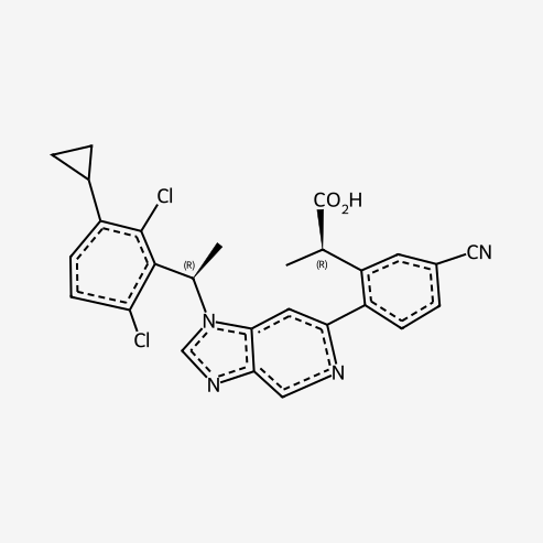 C[C@H](c1c(Cl)ccc(C2CC2)c1Cl)n1cnc2cnc(-c3ccc(C#N)cc3[C@@H](C)C(=O)O)cc21